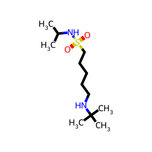 CC(C)NS(=O)(=O)CCCCCNC(C)(C)C